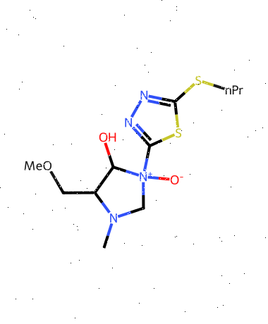 CCCSc1nnc([N+]2([O-])CN(C)C(COC)C2O)s1